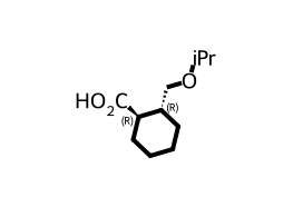 CC(C)OC[C@@H]1CCCC[C@H]1C(=O)O